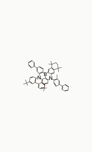 Cc1cc(-c2ccccc2)ccc1N1c2cc3c(cc2B2c4ccc(-c5ccccc5)cc4N(c4ccc(C(C)(C)C)cc4-c4ccccc4)c4cc(C(C)(C)C)cc1c42)C(C)(C)CCC3(C)C